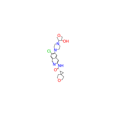 O=C(Nc1cc2cc(N3CCN([C@H]4COC[C@H]4O)CC3)c(Cl)cc2cn1)[C@@H]1CC12CCOCC2